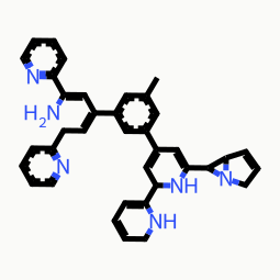 Cc1cc(C2=CC(C3=CC=CCN3)NC(C3C4C=CCN43)=C2)cc(C(/C=C(\N)c2ccccn2)=C/Cc2ccccn2)c1